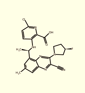 Cc1cc([C@@H](C)Nc2ccc(Cl)nc2C(=O)O)c2nc(N3CC[C@@H](F)C3)c(C#N)nc2c1